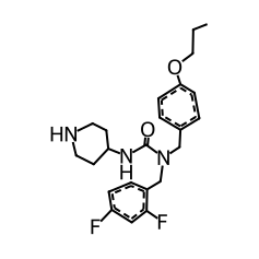 CCCOc1ccc(CN(Cc2ccc(F)cc2F)C(=O)NC2CCNCC2)cc1